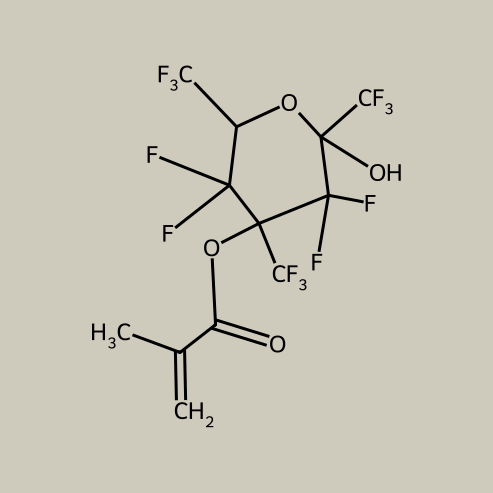 C=C(C)C(=O)OC1(C(F)(F)F)C(F)(F)C(C(F)(F)F)OC(O)(C(F)(F)F)C1(F)F